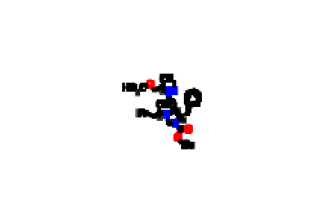 CC(C)C[C@@H](C=O)N1CN(C(=O)OC(C)(C)C)[C@@H](Cc2ccccc2)[C@H]1CCN[C@@H](C)COC(=O)O